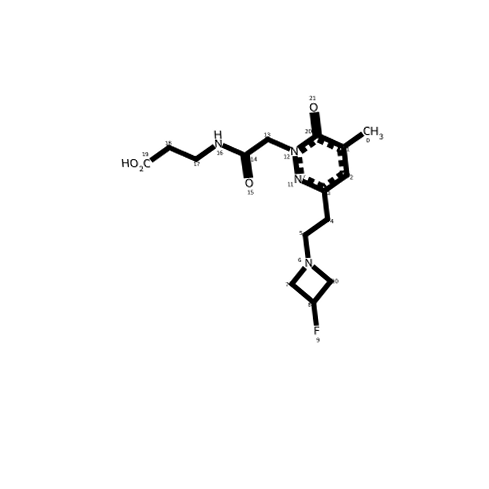 Cc1cc(CCN2CC(F)C2)nn(CC(=O)NCCC(=O)O)c1=O